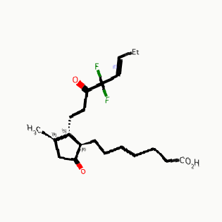 CC/C=C/C(F)(F)C(=O)CC[C@H]1[C@H](C)CC(=O)[C@@H]1CCCCCCC(=O)O